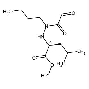 CCCCN(N[C@@H](CC(C)C)C(=O)OC)C(=O)C=O